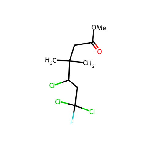 COC(=O)CC(C)(C)C(Cl)CC(F)(Cl)Cl